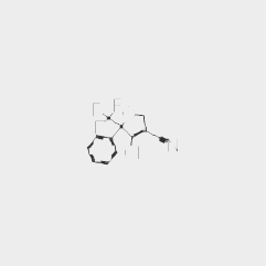 CC1=C(C#N)COC1(c1ccccc1)C(F)(F)F